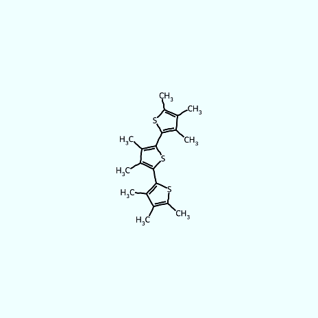 Cc1sc(-c2sc(-c3sc(C)c(C)c3C)c(C)c2C)c(C)c1C